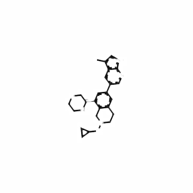 Cc1c[nH]c2ncc(-c3cc4c(c([C@@H]5COCCN5)c3)CN(SC3CC3)CC4)cc12